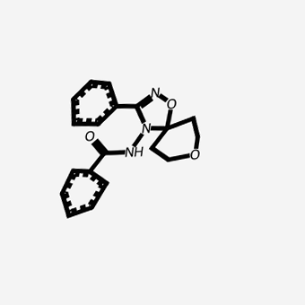 O=C(NN1C(c2ccccc2)=NOC12CCOCC2)c1ccccc1